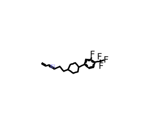 C=C/C=C/CCC1CCC(c2ccc(C(F)(F)F)c(F)c2)CC1